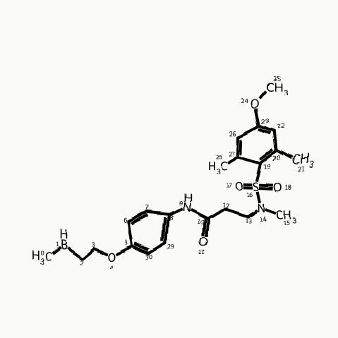 CBCCOc1ccc(NC(=O)CCN(C)S(=O)(=O)c2c(C)cc(OC)cc2C)cc1